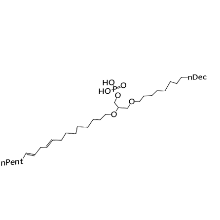 CCCCCC=CCC=CCCCCCCCCOC(COCCCCCCCCCCCCCCCCCC)COP(=O)(O)O